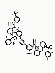 Cc1ccc(C(=O)N2CCC[C@H](C(=O)Nc3cc(-c4ccn(-c5cccc(C6C(C(=O)Nc7cccc(C(C)(C)C)c7)CCCN6C(=O)c6c(C)cccc6F)c5)c4)cc(C(C)(C)C)c3)C2CC2CCCCC2)c(C)c1